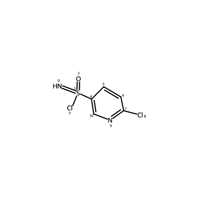 N=S(=O)(Cl)c1ccc(Cl)nc1